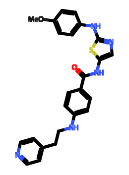 COc1ccc(Nc2ncc(NC(=O)c3ccc(NCCc4ccncc4)cc3)s2)cc1